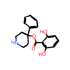 O=C(OC1(c2ccccc2)CCNCC1)c1c(O)cccc1O